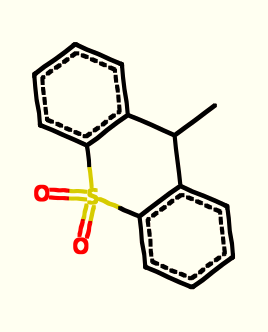 CC1c2ccccc2S(=O)(=O)c2ccccc21